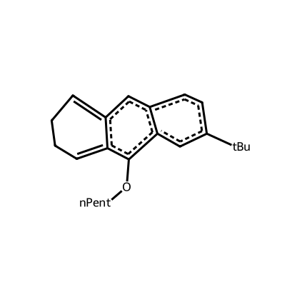 CCCCCOc1c2c(cc3ccc(C(C)(C)C)cc13)=CCCC=2